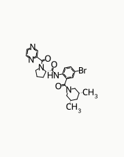 C[C@@H]1C[C@H](C)CN(C(=O)c2cc(Br)ccc2NC(=O)[C@@H]2CCCN2C(=O)c2cnccn2)C1